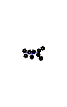 c1ccc(-c2ccc3c(c2)c2cc(-c4ccccc4)ccc2n3-c2ccc3c4ccc(N(c5ccccc5)c5ccccc5)cc4n(-c4ccccc4)c3c2)cc1